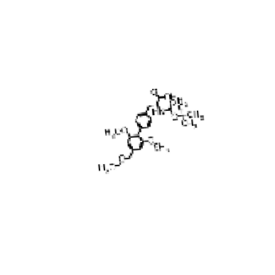 CCOCc1cc(OC)c(-c2ccc(C[C@H](NC(=O)OC(C)(C)C)C(=O)O)cc2)c(OC)c1